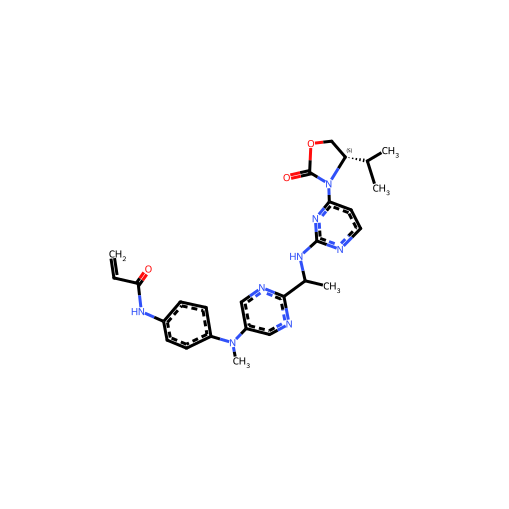 C=CC(=O)Nc1ccc(N(C)c2cnc(C(C)Nc3nccc(N4C(=O)OC[C@@H]4C(C)C)n3)nc2)cc1